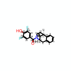 CC1(C)[C@H]2Cc3ccccc3[C@]1(C)CCN2C(=O)c1cc(F)c(O)c(F)c1